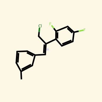 Cc1cccc(/C=C(\CCl)c2ccc(F)cc2F)c1